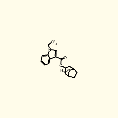 CN1C2CCC1CC(OC(=O)c1cn(CC(F)(F)F)c3ccccc13)C2